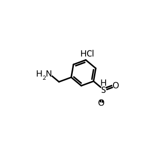 Cl.NCc1cccc([SH](=O)=O)c1